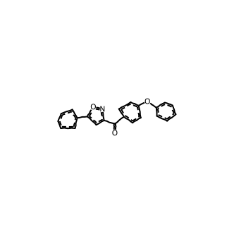 O=C(c1ccc(Oc2ccccc2)cc1)c1cc(-c2ccccc2)on1